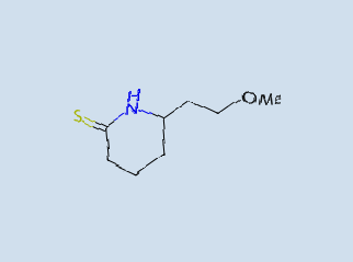 COCCC1CCCC(=S)N1